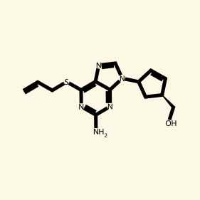 C=CCSc1nc(N)nc2c1ncn2C1C=C[C@@H](CO)C1